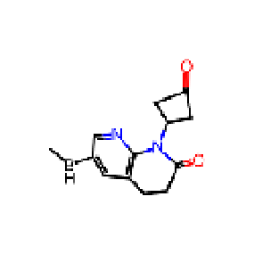 CBc1cnc2c(c1)CCC(=O)N2C1CC(=O)C1